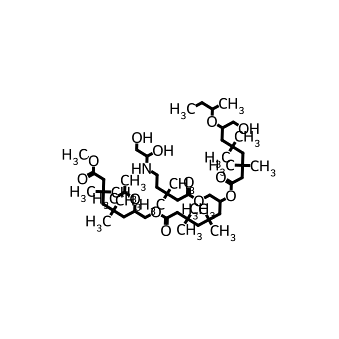 CCC(C)OC(CO)CC(C)(C)CC(C)(C)CC(=O)OC(COC(=O)CC(C)(C)CCNC(O)CO)CC(C)(C)CC(C)(C)CC(=O)OCC(CC(C)(C)CC(C)(C)CC(=O)OC)OC(C)C